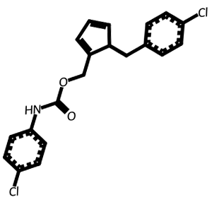 O=C(Nc1ccc(Cl)cc1)OCC1=CC=CC1Cc1ccc(Cl)cc1